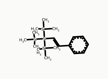 C[Si](C)(C)[Si](/C=C/c1ccccc1)([Si](C)(C)C)[Si](C)(C)C